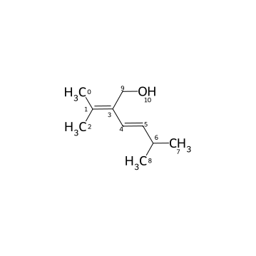 CC(C)=C(C=CC(C)C)CO